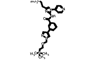 C[Si](C)(C)CCOCn1cc(-c2cccc(C(=O)Nc3nc(CCC(=O)O)cn3-c3ccncc3)c2)cn1